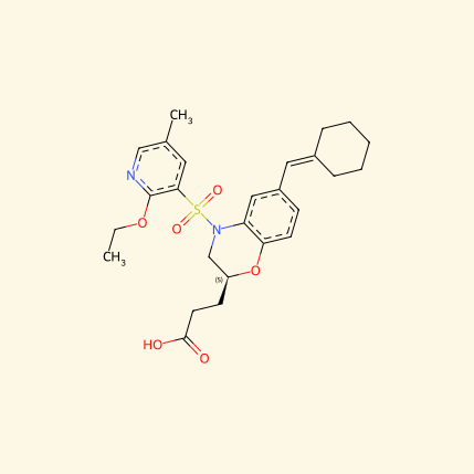 CCOc1ncc(C)cc1S(=O)(=O)N1C[C@H](CCC(=O)O)Oc2ccc(C=C3CCCCC3)cc21